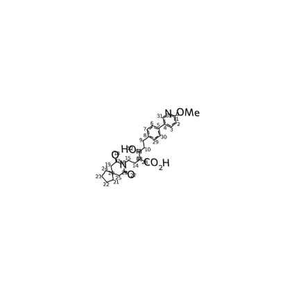 COc1ccc(-c2ccc(CC[C@@H](O)[C@@H](CCN3C(=O)CC4(CCCC4)CC3=O)C(=O)O)cc2)cn1